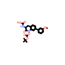 COc1cccc(-c2ccc3c(c2)N(OC(=O)OC(C)(C)C)C(=O)C(NC(=O)O)C3)c1